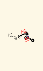 C[C@@H]1C[C@H](O)[C@H](CC=CCCCC(=O)O)[C@H]1/C=C/[C@H](CCc1ccccc1)OC1CCCCO1